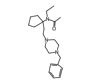 CCN(C(C)=O)C1(CCN2CCN(Cc3ccccc3)CC2)CCCC1